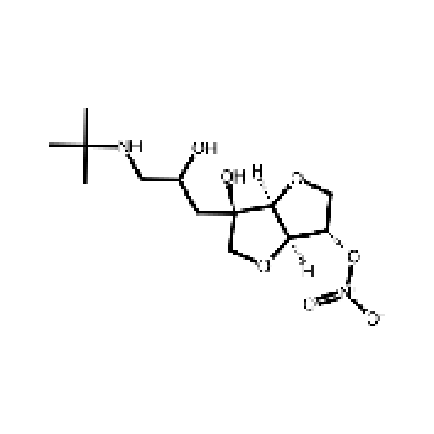 CC(C)(C)NCC(O)C[C@@]1(O)CO[C@@H]2[C@@H](O[N+](=O)[O-])CO[C@@H]21